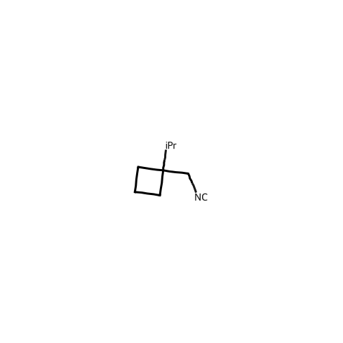 [C-]#[N+]CC1(C(C)C)CCC1